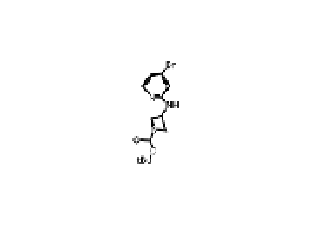 CC(C)(C)OC(=O)N1CC(Nc2cc(Br)ccn2)C1